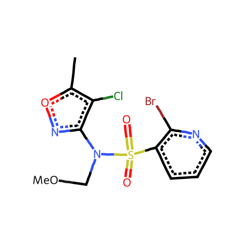 COCN(c1noc(C)c1Cl)S(=O)(=O)c1cccnc1Br